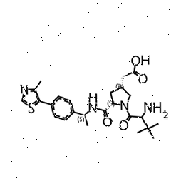 Cc1ncsc1-c1ccc([C@H](C)NC(=O)[C@@H]2C[C@H](CC(=O)O)CN2C(=O)C(N)C(C)(C)C)cc1